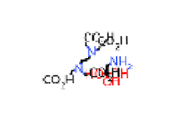 NCC(O)(O)O.O=C(O)CN(CCN(CC(=O)O)CC(=O)O)CC(=O)O